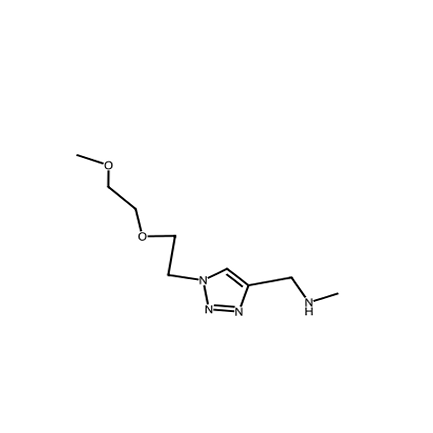 CNCc1cn(CCOCCOC)nn1